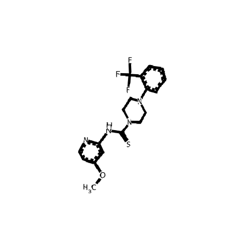 COc1ccnc(NC(=S)N2CCN(c3ccccc3C(F)(F)F)CC2)c1